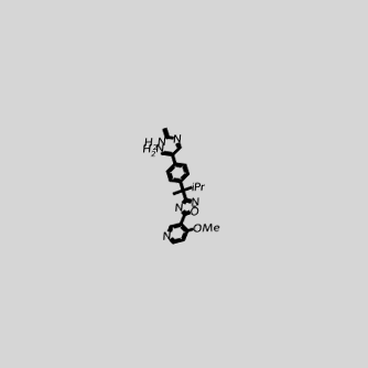 C=C(N)/N=C\C(=C/N)c1ccc(C(C)(c2noc(-c3cnccc3OC)n2)C(C)C)cc1